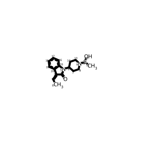 C/C=C1\C(=O)N(C2CCN(B(C)O)CC2)c2ccccc21